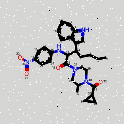 CCCCC(c1c[nH]c2ccccc12)C(Nc1ccc([N+](=O)[O-])cc1)C(=O)N1CCN(C(=O)C2CC2)C(C)C1